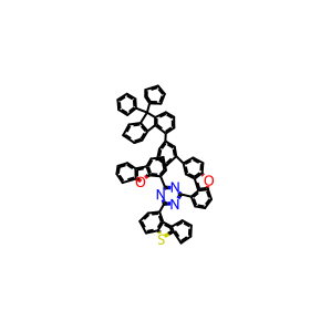 c1ccc(C2(c3ccccc3)c3ccccc3-c3c(-c4cccc(-c5ccc6oc7cccc(-c8nc(-c9cccc%10c9oc9ccccc9%10)nc(-c9cccc%10sc%11ccccc%11c9%10)n8)c7c6c5)c4)cccc32)cc1